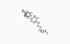 CCCCC[C@H]1CC[C@H](c2ccc(F)nc2)CC1